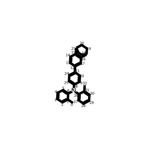 Cc1ccccc1N(c1ccc(-c2ccc3c(c2)C2CCC3CC2)cc1)c1ccccc1C